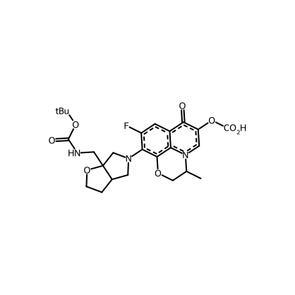 CC1COc2c(N3CC4CCOC4(CNC(=O)OC(C)(C)C)C3)c(F)cc3c(=O)c(OC(=O)O)cn1c23